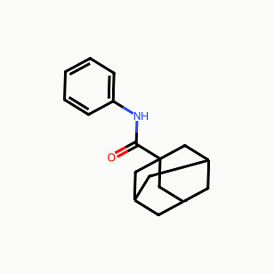 O=C(Nc1ccccc1)C12C[C]3CC(CC(C3)C1)C2